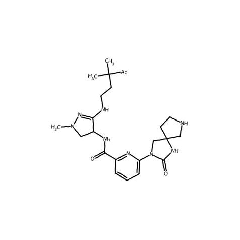 CC(=O)C(C)(C)CCNC1=NN(C)CC1NC(=O)c1cccc(N2CC3(CCNC3)NC2=O)n1